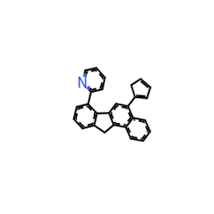 C1=CCC(c2cc3c(c4ccccc24)Cc2cccc(-c4ccccn4)c2-3)=C1